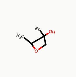 CC(C)C1(O)COC1C